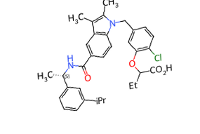 CCC(Oc1cc(Cn2c(C)c(C)c3cc(C(=O)N[C@@H](C)c4cccc(C(C)C)c4)ccc32)ccc1Cl)C(=O)O